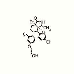 CC[C@@]12CC[C@@H](c3ccc(OCCO)cc3Cl)[C@H](c3ccc(Cl)cn3)[C@@H]1[C@@H](C)NC2=O